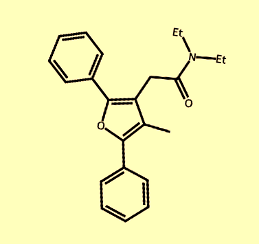 CCN(CC)C(=O)Cc1c(-c2ccccc2)oc(-c2ccccc2)c1C